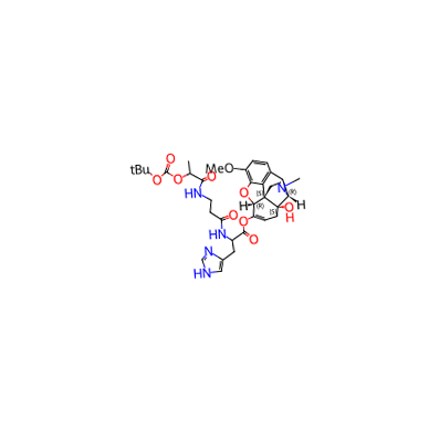 COc1ccc2c3c1O[C@H]1C(OC(=O)C(Cc4c[nH]cn4)NC(=O)CCNC(=O)C(C)OC(=O)OC(C)(C)C)=CC[C@@]4(O)[C@@H](C2)N(C)CC[C@]314